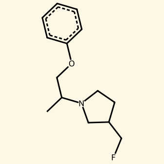 CC(COc1ccccc1)N1CCC(CF)C1